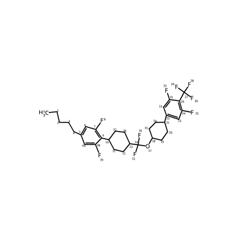 CCCCCc1cc(F)c(C2CCC(C(F)(F)OC3CCC(c4cc(F)c(C(F)(F)F)c(F)c4)CC3)CC2)c(F)c1